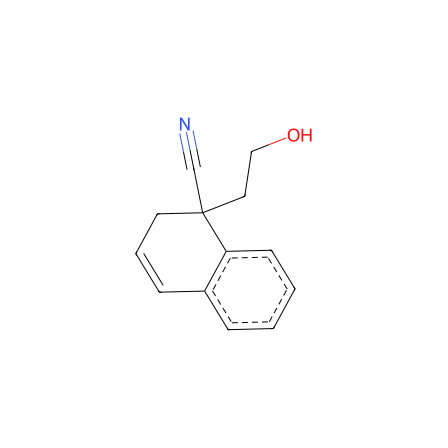 N#CC1(CCO)CC=Cc2ccccc21